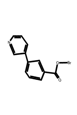 O=C(OBr)c1cccc(-c2cccnc2)c1